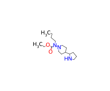 CCCCN(C(=O)OCC)N1CCC(C2CCCN2)CC1